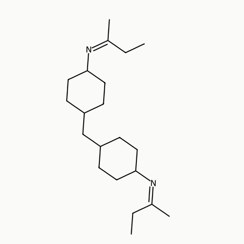 CCC(C)=NC1CCC(CC2CCC(N=C(C)CC)CC2)CC1